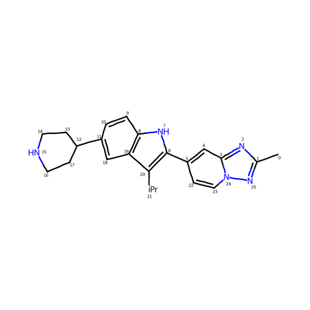 Cc1nc2cc(-c3[nH]c4ccc(C5CCNCC5)cc4c3C(C)C)ccn2n1